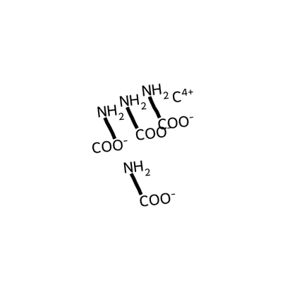 NC(=O)[O-].NC(=O)[O-].NC(=O)[O-].NC(=O)[O-].[C+4]